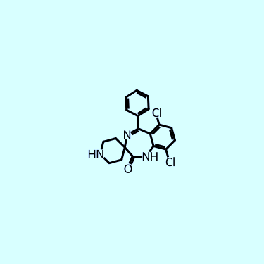 O=C1Nc2c(Cl)ccc(Cl)c2C(c2ccccc2)=NC12CCNCC2